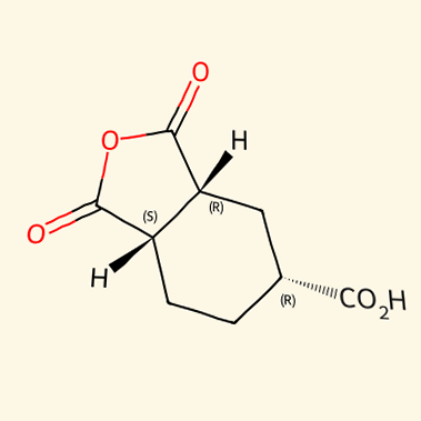 O=C(O)[C@@H]1CC[C@@H]2C(=O)OC(=O)[C@@H]2C1